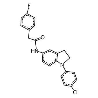 O=C(Cc1ccc(F)cc1)Nc1ccc2c(c1)CCN2c1ccc(Cl)cc1